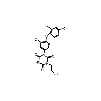 CCCn1c(=O)[nH]c(=O)n(-c2ccc(Oc3ccc(Cl)cc3Cl)c(Cl)c2)c1=O